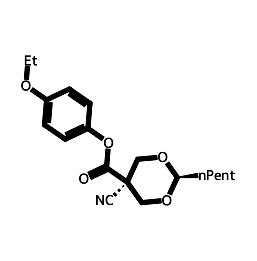 CCCCC[C@H]1OC[C@@](C#N)(C(=O)Oc2ccc(OCC)cc2)CO1